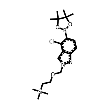 CC1(C)OB(c2ccc3nn(COCC[Si](C)(C)C)cc3c2Cl)OC1(C)C